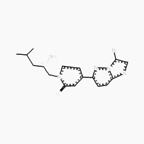 CC(C)C[C@H](N)Cn1ccc(-c2ccc3ncc(Br)n3n2)cc1=O